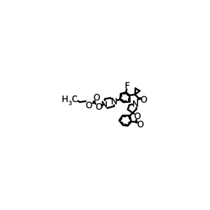 CCCOC(=O)ON1CCN(c2ccc(C3(C(=O)N4CCC5(C4)OC(=O)c4ccccc45)CC3)c(F)c2)CC1